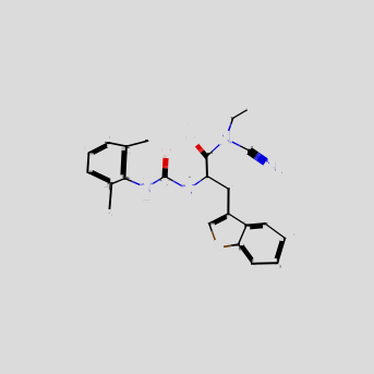 CCN(C#N)C(=O)C(Cc1csc2ccccc12)NC(=O)Nc1c(C)cccc1C